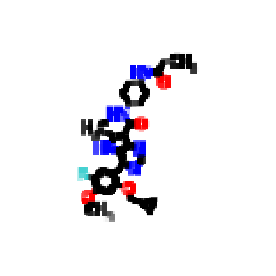 CCC(=O)N[C@H]1CC[C@H](NC(=O)c2c(C)[nH]c3c(-c4cc(F)c(OC)cc4OCC4CC4)ncnc23)CC1